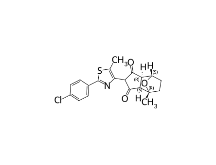 Cc1sc(-c2ccc(Cl)cc2)nc1C1C(=O)[C@H]2[C@@H]3CC[C@@](C)(O3)[C@H]2C1=O